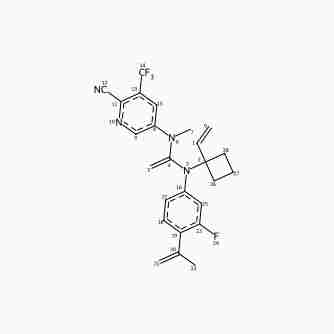 C=CC1(N(C(=C)N(C)c2cnc(C#N)c(C(F)(F)F)c2)c2ccc(C(=C)C)c(F)c2)CCC1